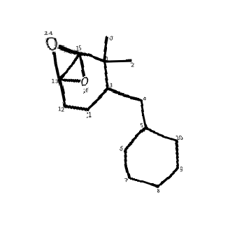 CC1(C)C(CC2CCCCC2)CCC23OC21O3